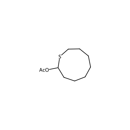 CC(=O)OC1CCCCCCCS1